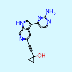 Nc1nccc(-c2c[nH]c3cnc(C#CC4(O)CC4)cc23)n1